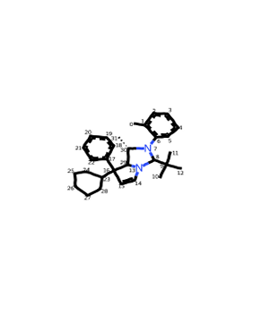 Cc1ccccc1N1C(C(C)(C)C)N2C=CC(c3ccccc3)(C3CCCCC3)C2[C@@H]1C